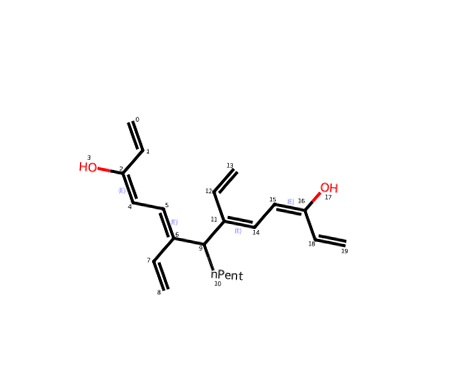 C=C/C(O)=C\C=C(/C=C)C(CCCCC)/C(C=C)=C/C=C(/O)C=C